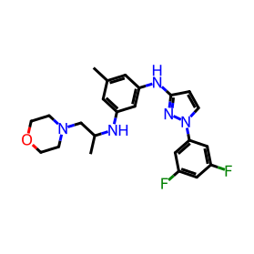 Cc1cc(Nc2ccn(-c3cc(F)cc(F)c3)n2)cc(NC(C)CN2CCOCC2)c1